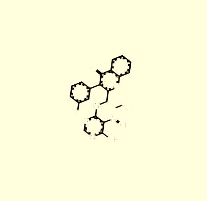 C=Nc1c(C)ncnc1N[C@@H](CC)c1oc2ccccc2c(=O)c1-c1cccc(F)c1